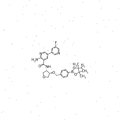 CC1(C)OB(c2ccc(CO[C@H]3COC[C@@H]3NC(=O)c3cc(-c4cncc(F)c4)cnc3N)cc2)OC1(C)C